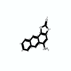 Nc1cc2sc(=O)oc2c2cc3ccccc3cc12